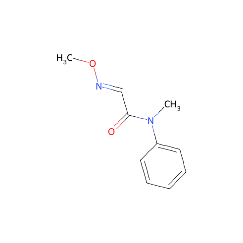 CON=CC(=O)N(C)c1ccccc1